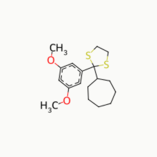 COc1cc(OC)cc(C2(C3CCCCCC3)SCCS2)c1